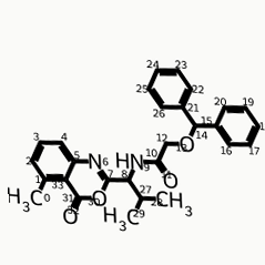 Cc1cccc2nc(C(NC(=O)COC(c3ccccc3)c3ccccc3)C(C)C)oc(=O)c12